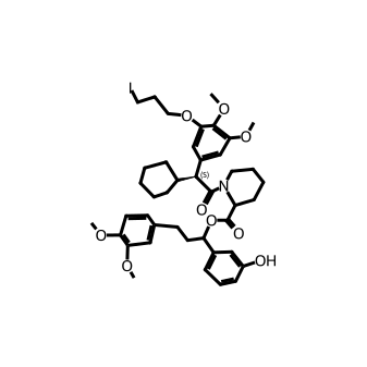 COc1ccc(CCC(OC(=O)C2CCCCN2C(=O)[C@H](c2cc(OC)c(OC)c(OCCCI)c2)C2CCCCC2)c2cccc(O)c2)cc1OC